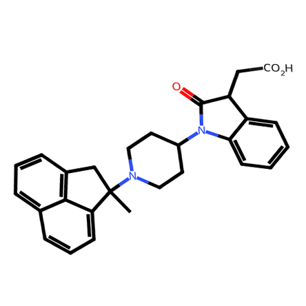 CC1(N2CCC(N3C(=O)C(CC(=O)O)c4ccccc43)CC2)Cc2cccc3cccc1c23